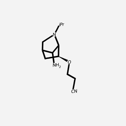 CC(C)N1CC2C[C@H](OCCC#N)C1C2N